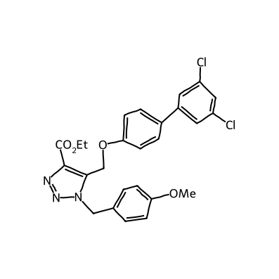 CCOC(=O)c1nnn(Cc2ccc(OC)cc2)c1COc1ccc(-c2cc(Cl)cc(Cl)c2)cc1